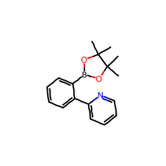 CC1(C)OB(c2ccccc2-c2ccccn2)OC1(C)C